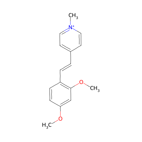 COc1ccc(/C=C/c2cc[n+](C)cc2)c(OC)c1